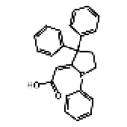 O=C(O)C=C1P(c2ccccc2)CCC1(c1ccccc1)c1ccccc1